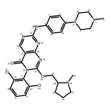 CN1CCN(c2ccc(Nc3ncc4c(=O)n(-c5c(Cl)cccc5Cl)c(OCC5CCCN5C)nc4n3)cc2)CC1